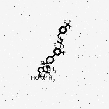 CC(C)(C)C1C(S(=O)(=O)N2CCC(c3cc(F)c(OC4CN(Cc5ccc(C(F)(F)F)cc5)C4)c(F)c3)CC2)CCN1C(=O)O